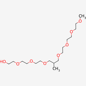 COCCOCCOCCOCC(C)COCCOCCOCCO